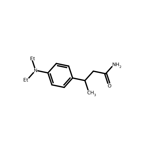 CCN(CC)c1ccc(C(C)CC(N)=O)cc1